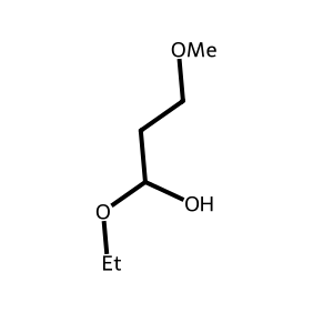 CCOC(O)CCOC